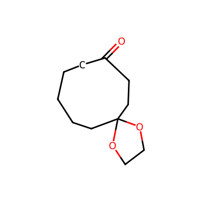 O=C1CCCCCC2(CC1)OCCO2